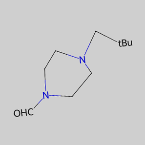 CC(C)(C)CN1CCN(C=O)CC1